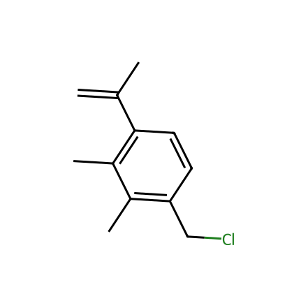 C=C(C)c1ccc(CCl)c(C)c1C